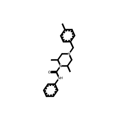 Cc1ccc(CN2CC(C)N(C(=O)Nc3ccccc3)C(C)C2)cc1